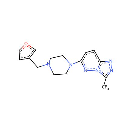 FC(F)(F)c1nnc2ccc(N3CCN(Cc4ccoc4)CC3)nn12